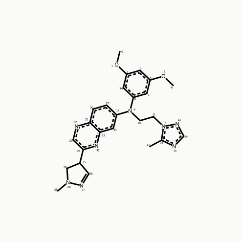 COc1cc(OC)cc(N(CCn2ncnc2C)c2ccc3ncc(C4C=NN(C)C4)nc3c2)c1